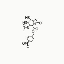 CC(=O)SC1=C(C(=O)OCc2ccc([N+](=O)[O-])cc2)N2C(=O)CC2C(S)C1S